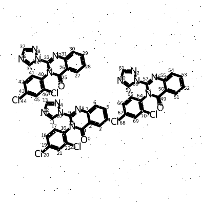 O=c1c2ccccc2nc(-n2cncn2)n1-c1ccc(Cl)cc1Cl.O=c1c2ccccc2nc(-n2cncn2)n1-c1ccc(Cl)cc1Cl.O=c1c2ccccc2nc(-n2cncn2)n1-c1ccc(Cl)cc1Cl